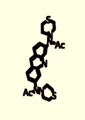 CC(=O)N(c1ccc2cc3ccc(N(C(C)=O)N4CCSCC4)cc3nc2c1)N1CCSCC1